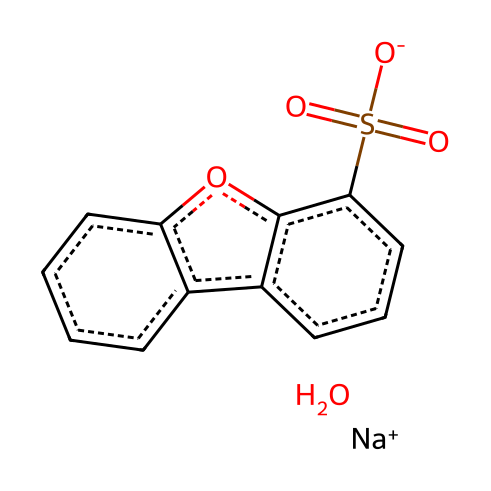 O.O=S(=O)([O-])c1cccc2c1oc1ccccc12.[Na+]